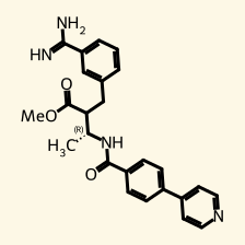 COC(=O)C(Cc1cccc(C(=N)N)c1)[C@@H](C)NC(=O)c1ccc(-c2ccncc2)cc1